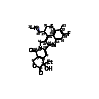 CC[C@@]1(O)C(=O)OCc2c1cc1n(c2=O)Cc2c-1nc1cc(F)c(C)c3c1c2C(/C=N/C)CS3